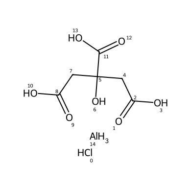 Cl.O=C(O)CC(O)(CC(=O)O)C(=O)O.[AlH3]